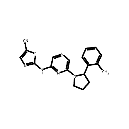 Cc1ccccc1C1CCCN1c1cncc(Nc2ncc(C#N)s2)n1